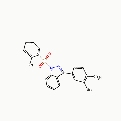 CC(C)(C)c1cc(-c2nn(S(=O)(=O)c3ccccc3C#N)c3ccccc23)ccc1C(=O)O